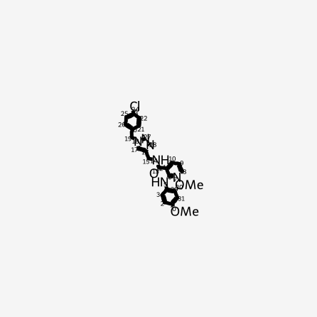 COc1ccc(Nc2ncccc2C(=O)NCc2cn(Cc3ccc(Cl)cc3)nn2)c(OC)c1